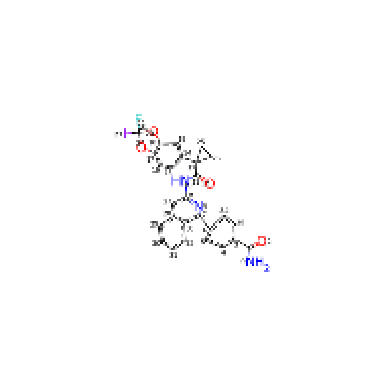 NC(=O)c1ccc(-c2nc(NC(=O)C3(c4ccc5c(c4)OC(F)(I)O5)CC3)cc3ccccc23)cc1